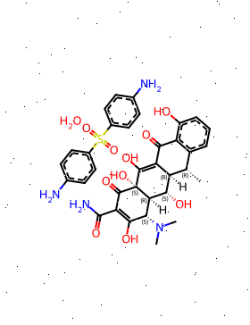 C[C@H]1c2cccc(O)c2C(=O)C2=C(O)[C@]3(O)C(=O)C(C(N)=O)=C(O)[C@@H](N(C)C)[C@@H]3[C@@H](O)[C@@H]21.Nc1ccc(S(=O)(=O)c2ccc(N)cc2)cc1.O